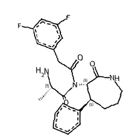 C[C@H](N)C(=O)N(C(=O)Cc1cc(F)cc(F)c1)[C@@H]1C(=O)NCCC[C@H]1c1ccccc1